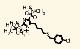 CN(C)S(=O)(=O)c1nc([Si](C)(C)C(C)(C)C)[nH]c1CCCCSCc1ccc(Cl)cc1